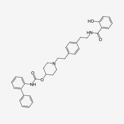 O=C(Nc1ccccc1-c1ccccc1)OC1CCN(CCc2ccc(CCNC(=O)c3ccccc3O)cc2)CC1